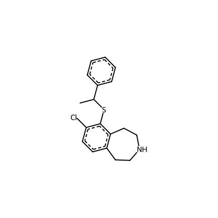 CC(Sc1c(Cl)ccc2c1CCNCC2)c1ccccc1